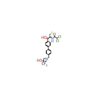 O=C(N[C@H](CF)[C@@H](O)c1ccc(-c2ccc(CN3CC(O)(C(F)(F)F)C3)cc2)cc1)C(Cl)Cl